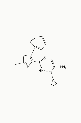 Cc1nc(C(=O)N[C@H](C(N)=O)C2CC2)c(-c2ccccc2)s1